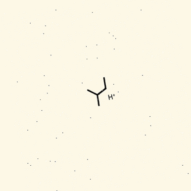 CC[C](C)C.[H+]